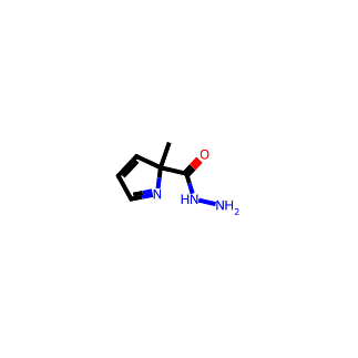 CC1(C(=O)NN)C=CC=N1